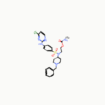 CC(C)(C)NC(=O)OCCN(C1CCN(Cc2ccccc2)CC1)S(=O)(=O)c1ccc(Nc2nccc(Cl)n2)cc1